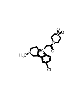 CN1CCc2c(c3cc(Cl)ccc3n2CC(=O)N2CCS(=O)(=O)CC2)C1